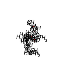 COc1ccc(C2=CN3C(=O)c4cc(OC)c(OCCCOc5cc6c(cc5OC)C(=O)N5CC7(CC7)C[C@H]5C(O)N6C(=O)OCc5ccc(NC(=O)[C@H](C)NC(=O)[C@@H](NC(=O)CNC(=O)CNC(=O)OCC6[C@H]7CCC8=C(CC[C@@H]67)NNN8C(C)C)C(C)C)cc5)cc4NC[C@@H]3C2)cc1